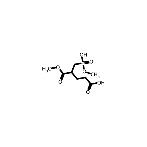 COC(=O)C(CCC(=O)O)CP(=O)(O)OC